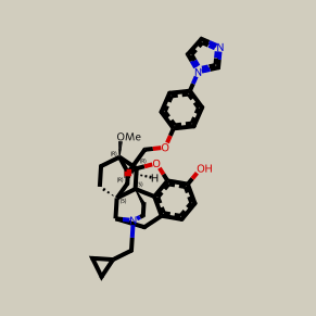 CO[C@]12CC[C@@]3(C[C@@H]1COc1ccc(-n4ccnc4)cc1)C1Cc4ccc(O)c5c4[C@@]3(CCN1CC1CC1)[C@H]2O5